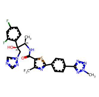 C[C@@H](NC(=O)c1sc(-c2ccc(-c3nnn(C)n3)cc2)nc1C(F)(F)F)[C@](O)(Cn1cncn1)c1ccc(F)cc1F